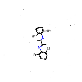 CCc1cccc(C(C)C)c1/N=C(C)/C(C)=N/c1c(C(C)C)cccc1C(C)C